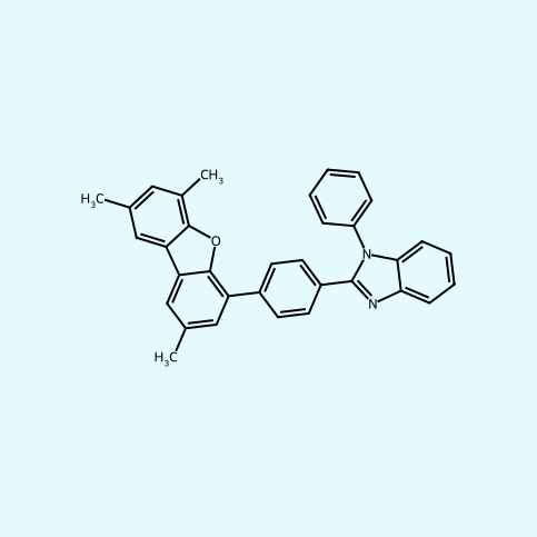 Cc1cc(C)c2oc3c(-c4ccc(-c5nc6ccccc6n5-c5ccccc5)cc4)cc(C)cc3c2c1